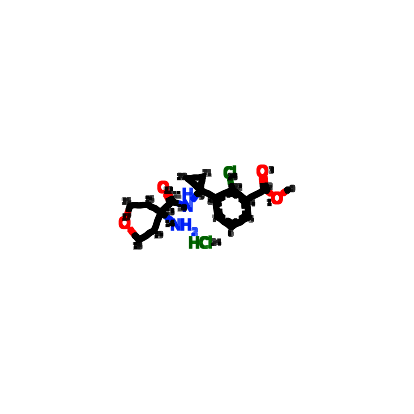 COC(=O)c1cccc(C2(NC(=O)C3(N)CCOCC3)CC2)c1Cl.Cl